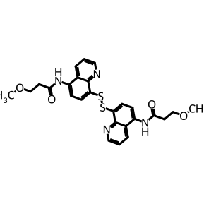 COCCC(=O)Nc1ccc(SSc2ccc(NC(=O)CCOC)c3cccnc23)c2ncccc12